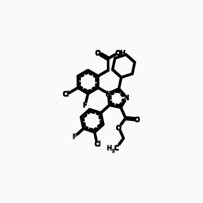 CCOC(=O)c1nc(C2CCCCC2)n(-c2c(CC(=O)O)ccc(Cl)c2F)c1-c1ccc(F)c(Cl)c1